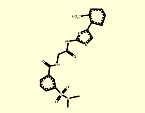 CN(C)S(=O)(=O)c1cccc(C(=O)NCC(=O)Nc2nc(-c3ccccc3C(=O)O)cs2)c1